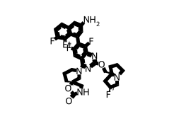 CCc1c(F)ccc2cc(N)cc(-c3c(F)cc4c(N5CCC[C@]6(CNC(=O)O6)C5)nc(OC[C@@]56CCCN5C[C@H](F)C6)nc4c3F)c12